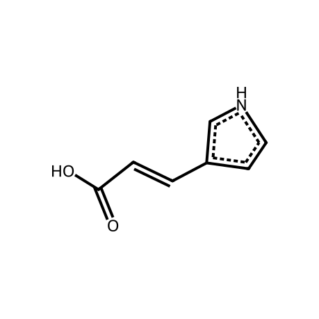 O=C(O)C=Cc1cc[nH]c1